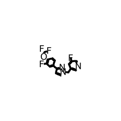 Fc1cncc(Cn2ccc(-c3ccc(OC(F)F)c(F)c3)n2)c1